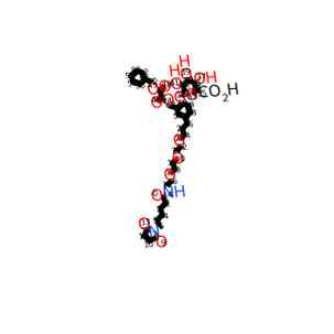 O=C(CCCCCN1C(=O)C=CC1=O)NCCOCCOCCOCCCc1ccc(O[C@@H]2O[C@H](C(=O)O)[C@@H](O)[C@H](O)[C@H]2O)c(COC(=O)C(=O)OCc2ccccc2)c1